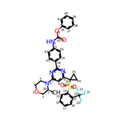 C[C@H]1COCCN1c1cc(C2(S(=O)(=O)c3ccccc3C(F)(F)F)CC2)nc(-c2ccc(NC(=O)Oc3ccccc3)cc2)n1